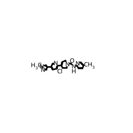 Cc1ccc(NC(=O)N2CC=C(c3ncc(-c4cnn(C)c4)cc3Cl)CC2)nc1